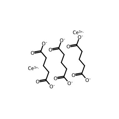 O=C([O-])CCCC(=O)[O-].O=C([O-])CCCC(=O)[O-].O=C([O-])CCCC(=O)[O-].[Ce+3].[Ce+3]